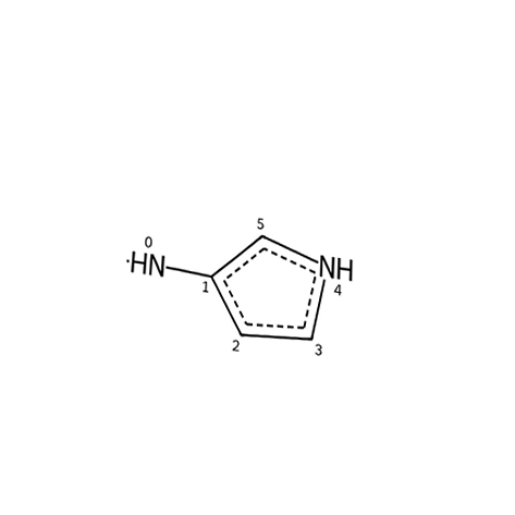 [NH]c1cc[nH]c1